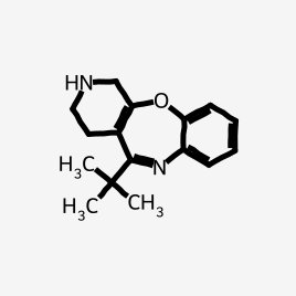 CC(C)(C)C1=Nc2ccccc2OC2=C1CCNC2